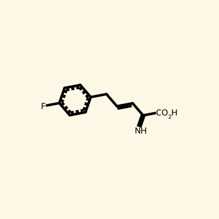 N=C(/C=C/Cc1ccc(F)cc1)C(=O)O